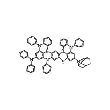 c1ccc(N(c2ccccc2)c2cc3c4c(c2)N(c2ccccc2)c2cc5c(cc2B4c2ccccc2N3c2ccccc2)B2c3ccccc3N(c3ccccc3)c3cc(N4C6CC7CC(C6)CC4C7)cc(c32)S5)cc1